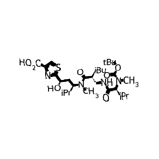 CC[C@H](C)[C@H](CNC(=O)[C@H](C(C)C)N(C)C(=O)OC(C)(C)C)C(=O)N(C)[C@H](C[C@@H](O)c1nc(C(=O)O)cs1)C(C)C